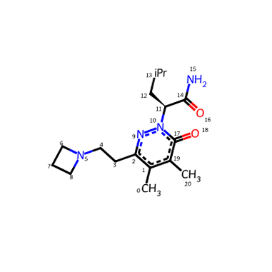 Cc1c(CCN2CCC2)nn([C@@H](CC(C)C)C(N)=O)c(=O)c1C